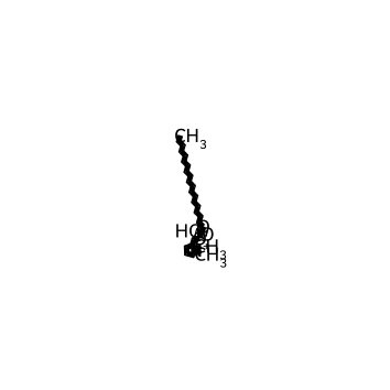 CCCCCCCCCCCCCCCCCCOP(=O)(O)OCC1CCC[N+]1(C)C